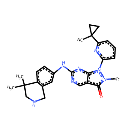 CC(C)n1c(=O)c2cnc(Nc3ccc4c(c3)CNCC4(C)C)nc2n1-c1cccc(C2(C#N)CC2)n1